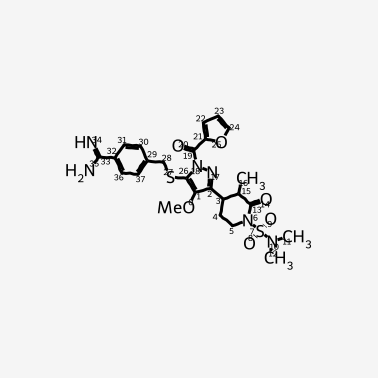 COc1c(C2CCN(S(=O)(=O)N(C)C)C(=O)C2C)nn(C(=O)c2ccco2)c1SCc1ccc(C(=N)N)cc1